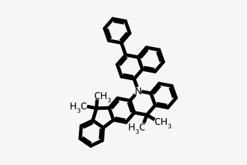 CC1(C)c2ccccc2-c2cc3c(cc21)N(c1ccc(-c2ccccc2)c2ccccc12)c1ccccc1C3(C)C